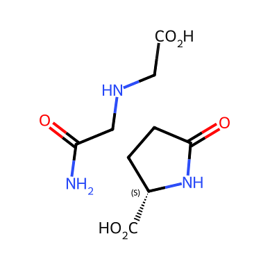 NC(=O)CNCC(=O)O.O=C1CC[C@@H](C(=O)O)N1